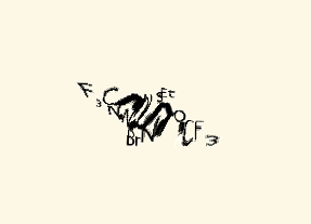 CCSc1cc(OCC(F)(F)F)cnc1-c1nc2cc(C(F)(F)F)ncn2c1Br